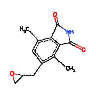 Cc1cc(CC2CO2)c(C)c2c1C(=O)NC2=O